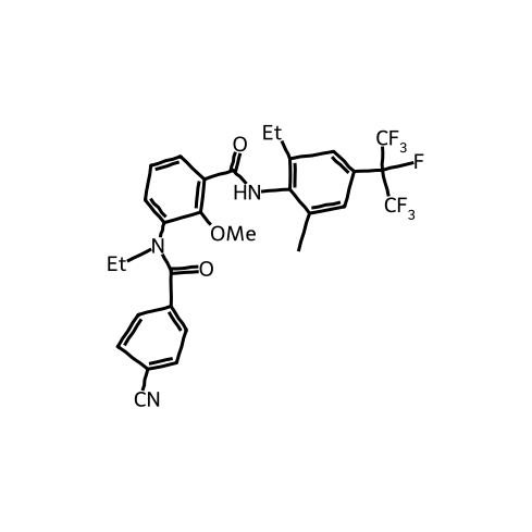 CCc1cc(C(F)(C(F)(F)F)C(F)(F)F)cc(C)c1NC(=O)c1cccc(N(CC)C(=O)c2ccc(C#N)cc2)c1OC